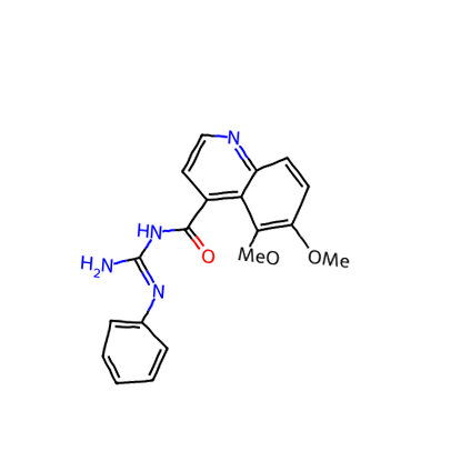 COc1ccc2nccc(C(=O)NC(N)=Nc3ccccc3)c2c1OC